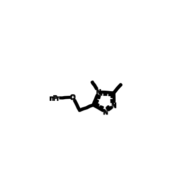 CCCOCc1nnc(C)n1C